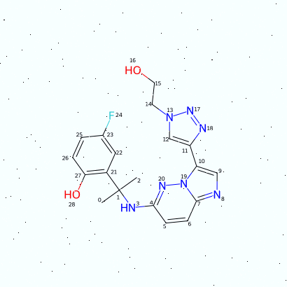 CC(C)(Nc1ccc2ncc(-c3cn(CCO)nn3)n2n1)c1cc(F)ccc1O